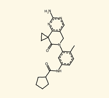 Cc1ccc(NC(=O)C2CCCC2)cc1N1Cc2cnc(N)nc2C2(CC2)C1=O